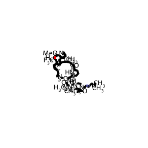 CO[C@@H](C)c1ncccc1-c1c2c3cc(ccc3n1CC(F)(F)F)-c1csc(n1)C[C@H](NC(=O)[C@H](N(C)C)N(C)C(=O)N1CCN(C(=O)/C=C/CN(C)C)C3(CC3)C1)C(=O)N1CCC[C@H](N1)C(=O)OCC(C)(C)C2